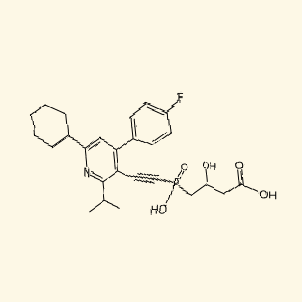 CC(C)c1nc(C2CCCCC2)cc(-c2ccc(F)cc2)c1C#CP(=O)(O)CC(O)CC(=O)O